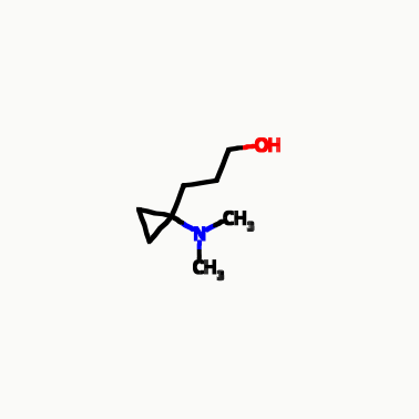 CN(C)C1(CCCO)CC1